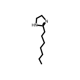 CCCCCCCC1=NCCN1